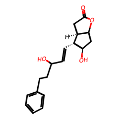 O=C1C[C@H]2C(C[C@@H](O)[C@@H]2/C=C/C(O)CCc2ccccc2)O1